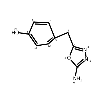 Nc1nnc(Cc2ccc(O)cc2)o1